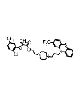 CC(Oc1cc(C(F)(F)F)ccc1Cl)C(=O)OCCN1CCN(CCCN2c3ccccc3Sc3ccc(C(F)(F)F)cc32)CC1